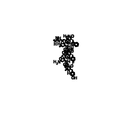 CNC(=N)NCCC[C@H](NC(=O)[C@H](CC(C)C)NC(=O)NNC(=O)[C@H](Cc1ccc(F)cc1)NC(=O)[C@@H](NC(=O)[C@H](CC(N)=O)NC(=O)CNC(=O)[C@@H](Cc1ccc(O)cc1)NC(C)=O)[C@@H](C)O)C(=O)N[C@@H](Cc1c[nH]c2ccccc12)C(N)=O